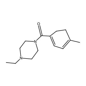 CCN1CCN(C(=O)C2=CC=C(C)CC2)CC1